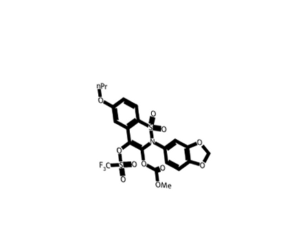 CCCOc1ccc2c(c1)C(OS(=O)(=O)C(F)(F)F)=C(OC(=O)OC)N(c1ccc3c(c1)OCO3)S2(=O)=O